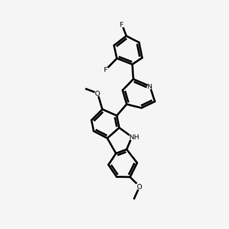 COc1ccc2c(c1)[nH]c1c(-c3ccnc(-c4ccc(F)cc4F)c3)c(OC)ccc12